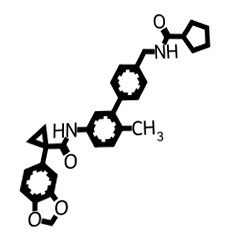 Cc1ccc(NC(=O)C2(c3ccc4c(c3)OCO4)CC2)cc1-c1ccc(CNC(=O)C2CCCC2)cc1